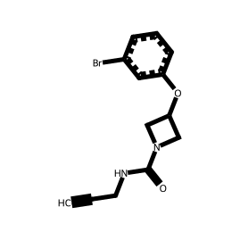 C#CCNC(=O)N1CC(Oc2cccc(Br)c2)C1